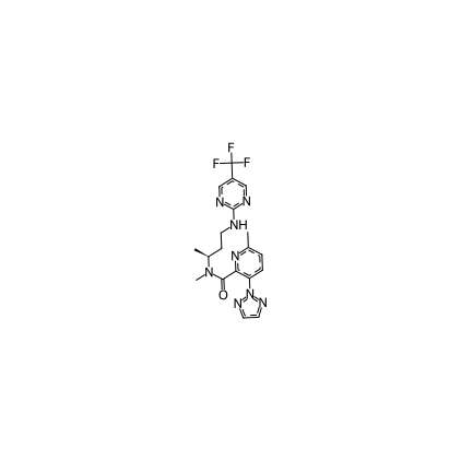 Cc1ccc(-n2nccn2)c(C(=O)N(C)[C@@H](C)CCNc2ncc(C(F)(F)F)cn2)n1